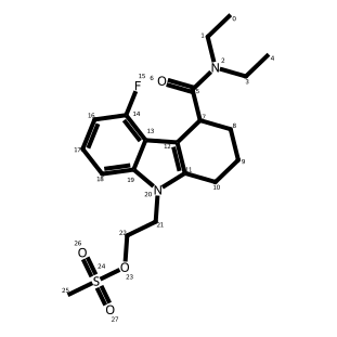 CCN(CC)C(=O)C1CCCc2c1c1c(F)cccc1n2CCOS(C)(=O)=O